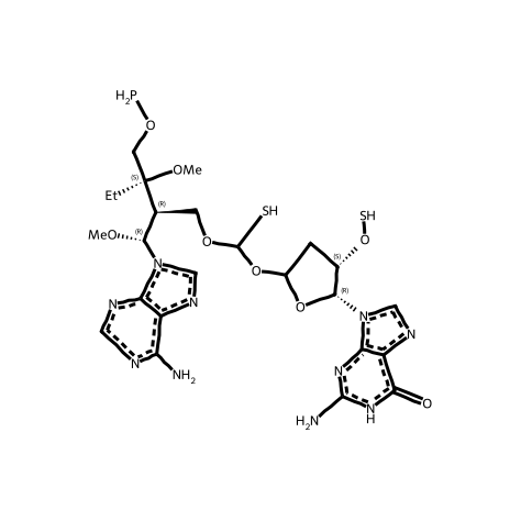 CC[C@](COP)(OC)[C@@H](COC(S)OC1C[C@H](OS)[C@H](n2cnc3c(=O)[nH]c(N)nc32)O1)[C@@H](OC)n1cnc2c(N)ncnc21